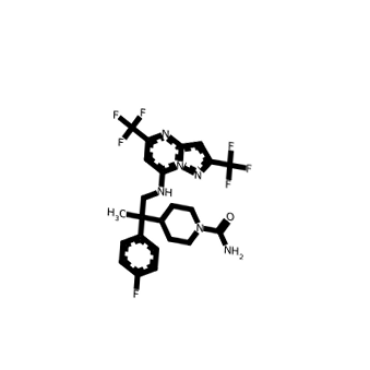 CC(CNc1cc(C(F)(F)F)nc2cc(C(F)(F)F)nn12)(c1ccc(F)cc1)C1CCN(C(N)=O)CC1